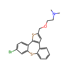 CN(C)CCOCc1cc2c(s1)-c1ccc(Br)cc1Sc1ccccc1-2